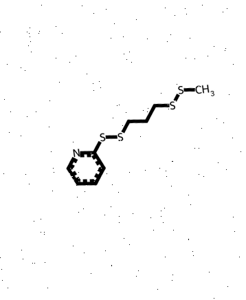 CSSCCCSSc1ccccn1